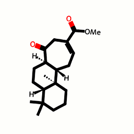 COC(=O)C1=CC[C@H]2[C@@H](CC[C@H]3C(C)(C)CCC[C@]23C)C(=O)C1